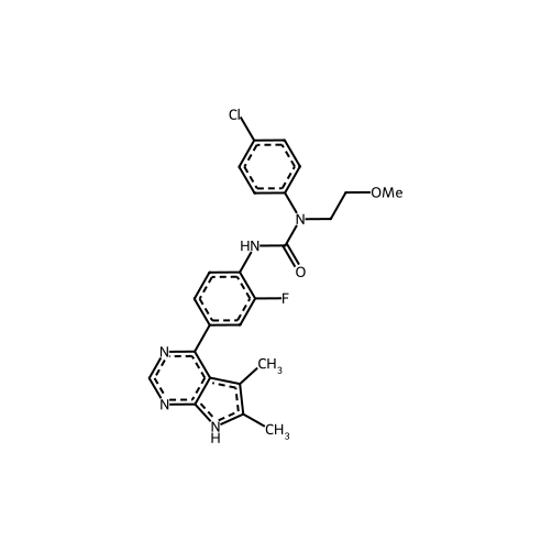 COCCN(C(=O)Nc1ccc(-c2ncnc3[nH]c(C)c(C)c23)cc1F)c1ccc(Cl)cc1